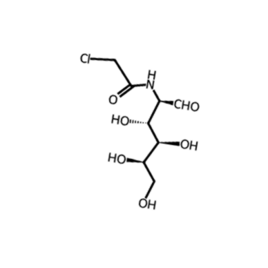 O=C[C@H](NC(=O)CCl)[C@@H](O)[C@@H](O)[C@H](O)CO